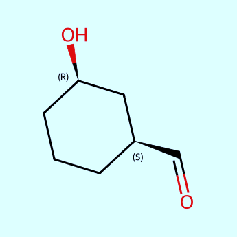 O=C[C@H]1CCC[C@@H](O)C1